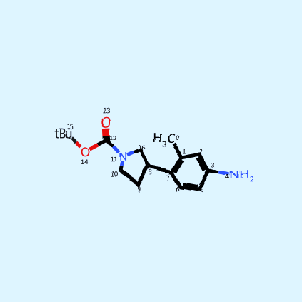 Cc1cc(N)ccc1C1CCN(C(=O)OC(C)(C)C)C1